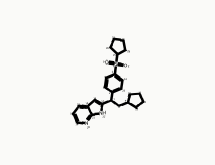 O=S(=O)(c1ccc(C(CC2CCCC2)c2cc3cccnc3[nH]2)cc1)C1CCCC1